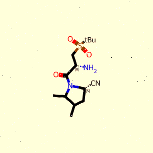 CC1C[C@@H](C#N)N(C(=O)[C@@H](N)CS(=O)(=O)C(C)(C)C)C1C